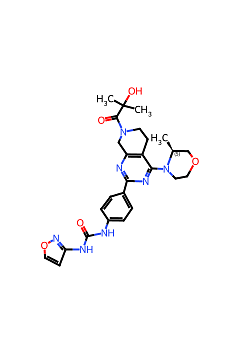 C[C@H]1COCCN1c1nc(-c2ccc(NC(=O)Nc3ccon3)cc2)nc2c1CCN(C(=O)C(C)(C)O)C2